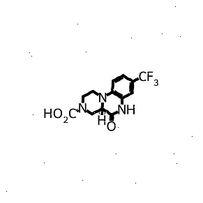 O=C1Nc2cc(C(F)(F)F)ccc2N2CCN(C(=O)O)C[C@@H]12